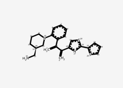 C=C(C(=C)c1ccccc1N1CCC[C@H](CN)C1)c1csc(-c2cccs2)n1